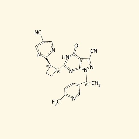 C[C@H](c1ccc(C(F)(F)F)nc1)n1nc(C#N)c2c(=O)[nH]c([C@@H]3CC[C@H]3c3ncc(C#N)cn3)nc21